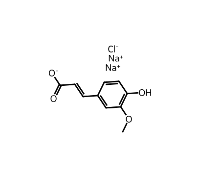 COc1cc(C=CC(=O)[O-])ccc1O.[Cl-].[Na+].[Na+]